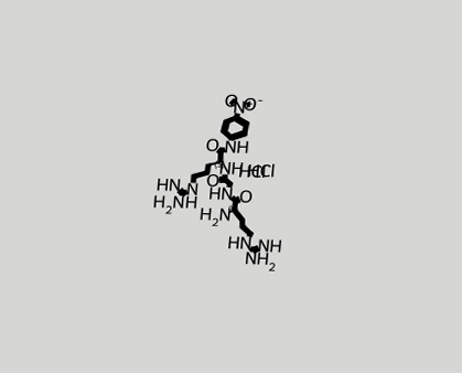 Cl.Cl.N=C(N)NCCC[C@H](NC(=O)CNC(=O)[C@@H](N)CCCNC(=N)N)C(=O)Nc1ccc([N+](=O)[O-])cc1